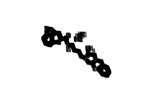 CC1CN(Cc2ccccc2)C(C)CN1CCCCNC(=O)C1=Cc2cnc3cccc(n23)S1.Cl.Cl.Cl